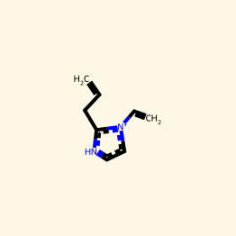 C=CCc1[nH]cc[n+]1C=C